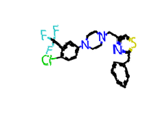 FC(F)(F)c1cc(N2CCN(Cc3csc(Cc4ccccc4)n3)CC2)ccc1Cl